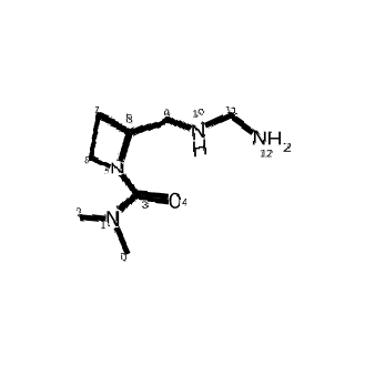 CN(C)C(=O)N1CCC1CNCN